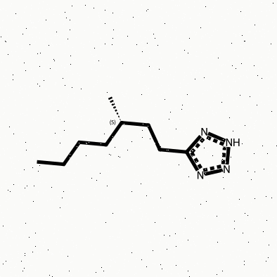 CCCC[C@H](C)CCc1nn[nH]n1